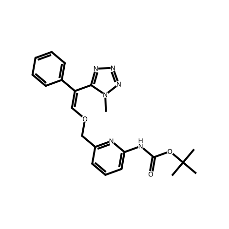 Cn1nnnc1/C(=C\OCc1cccc(NC(=O)OC(C)(C)C)n1)c1ccccc1